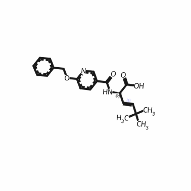 CC(C)(C)/C=C/[C@@H](NC(=O)c1ccc(OCc2ccccc2)nc1)C(=O)O